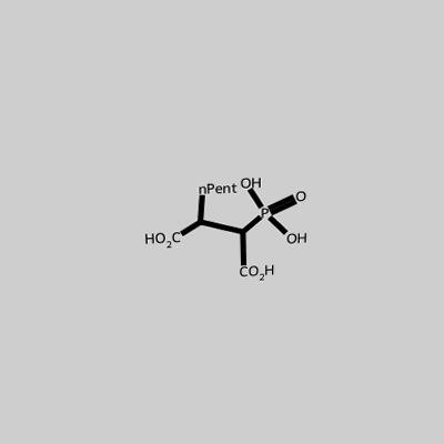 CCCCCC(C(=O)O)C(C(=O)O)P(=O)(O)O